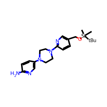 CC(C)(C)[Si](C)(C)OCc1ccc(N2CCN(c3ccc(N)nc3)CC2)nc1